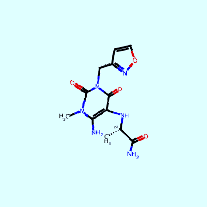 C[C@H](Nc1c(N)n(C)c(=O)n(Cc2ccon2)c1=O)C(N)=O